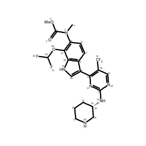 COC(=O)N(C)c1ccc2c(-c3nc(N[C@H]4CCCNC4)ncc3C(F)(F)F)c[nH]c2c1OC(F)F